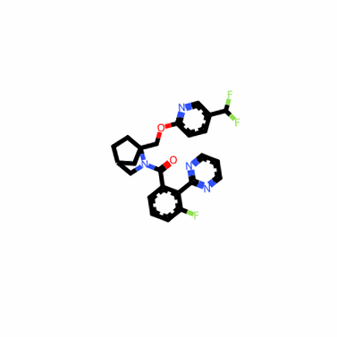 O=C(c1cccc(F)c1-c1ncccn1)N1CC2CCC1(COc1ccc(C(F)F)cn1)C2